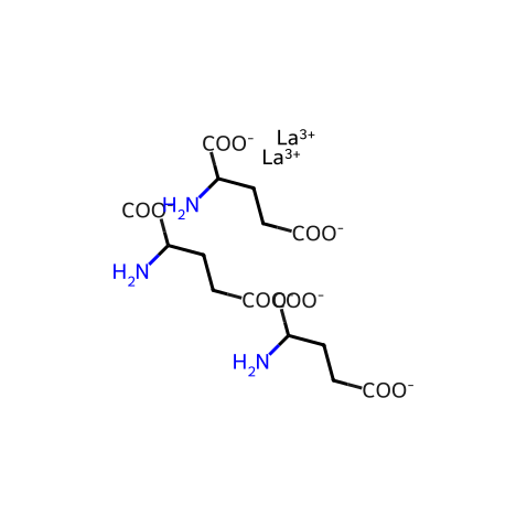 NC(CCC(=O)[O-])C(=O)[O-].NC(CCC(=O)[O-])C(=O)[O-].NC(CCC(=O)[O-])C(=O)[O-].[La+3].[La+3]